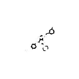 COc1ccc(Nc2nc(N3CCOCC3)nc3c2ncn3/N=C/c2cccc(C)c2)cc1